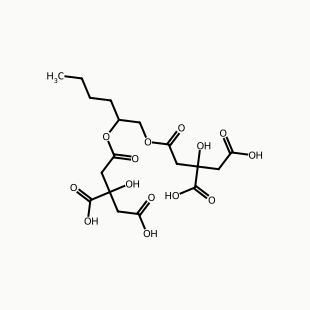 CCCCC(COC(=O)CC(O)(CC(=O)O)C(=O)O)OC(=O)CC(O)(CC(=O)O)C(=O)O